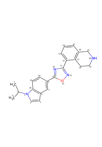 CC(C)n1ccc2cc(-c3nc(-c4cccc5c4CCNC5)no3)ccc21